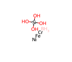 B.O[Si](O)(O)O.[Cr].[Fe].[Ni]